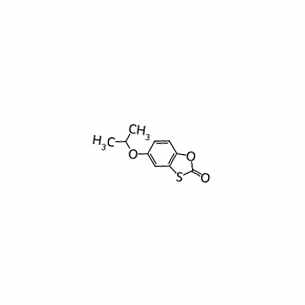 CC(C)Oc1ccc2oc(=O)sc2c1